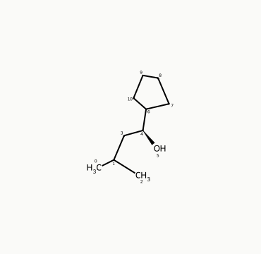 CC(C)C[C@H](O)C1CCCC1